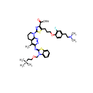 COC(=O)c1nc(N2CCCc3c2nnc(/N=c2\sc4ccccc4n2COCC[Si](C)(C)C)c3C)sc1CCCOc1ccc(CCN(C)C)cc1F